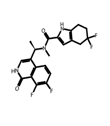 C[C@H](c1c[nH]c(=O)c2c(F)c(F)ccc12)N(C)C(=O)c1cc2c([nH]1)CCC(F)(F)C2